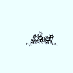 CC/N=C(/NC1CCCC1)c1ncn([C@@H]2O[C@H](COCP(=O)(OCC)OCC)[C@H]3OC(C)(C)O[C@H]32)c1NC